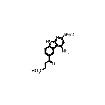 CCCCCc1cc(N)c2c(n1)[nH]c1ccc(C(=O)CCC(=O)O)cc12